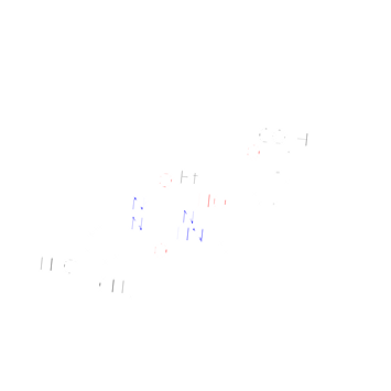 CCOC1=NN(c2ccc(C)c(C)c2)C(=O)C1=NNc1cccc(-c2cccc(OC(=O)O)c2)c1O